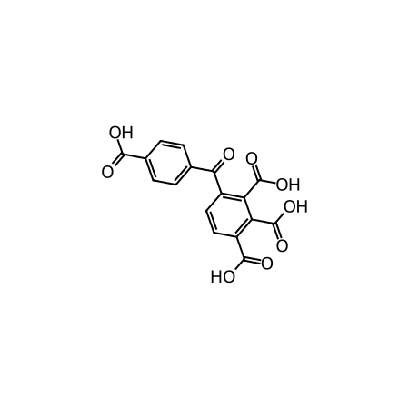 O=C(O)c1ccc(C(=O)c2ccc(C(=O)O)c(C(=O)O)c2C(=O)O)cc1